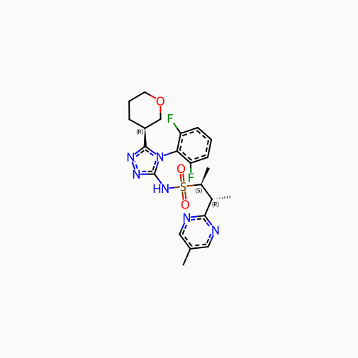 Cc1cnc([C@@H](C)[C@H](C)S(=O)(=O)Nc2nnc([C@H]3CCCOC3)n2-c2c(F)cccc2F)nc1